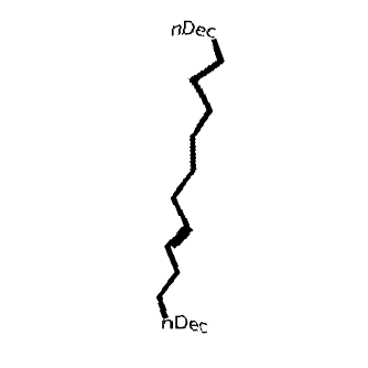 CCCCCCCCCCCCC=CCCCCCCCCCCCCCCCC